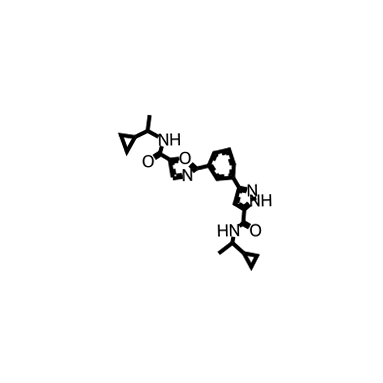 CC(NC(=O)c1cc(-c2cccc(-c3ncc(C(=O)NC(C)C4CC4)o3)c2)n[nH]1)C1CC1